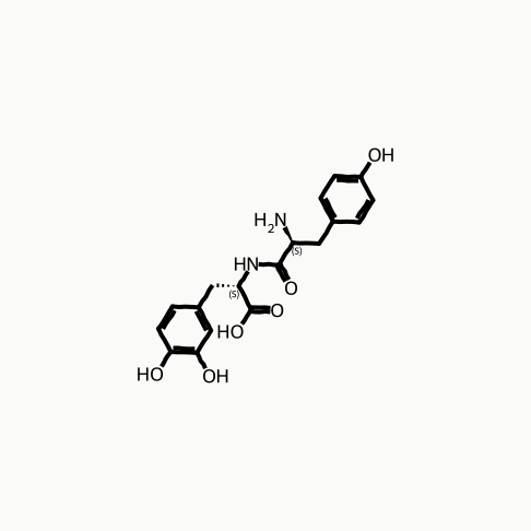 N[C@@H](Cc1ccc(O)cc1)C(=O)N[C@@H](Cc1ccc(O)c(O)c1)C(=O)O